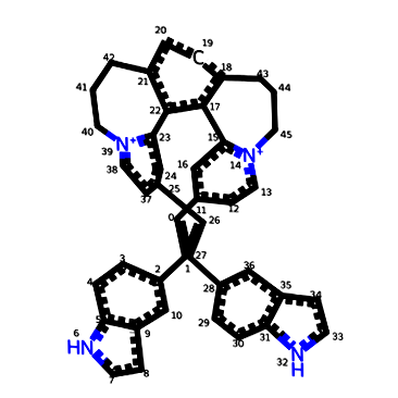 C(=C\c1ccc2[nH]ccc2c1)/c1cc[n+]2c(c1)-c1c(ccc3c1-c1cc(/C=C/c4ccc5[nH]ccc5c4)cc[n+]1CCC3)CCC2